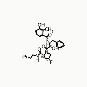 Cc1c(O)cccc1C(=O)N[C@@H](Cc1ccccc1)[C@H](O)C(=O)N1C[C@@H](F)C[C@H]1C(=O)NCCC(C)C